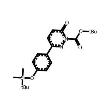 CC(C)(C)OC(=O)n1nc(-c2ccc(O[Si](C)(C)C(C)(C)C)cc2)ccc1=O